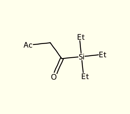 CC[Si](CC)(CC)C(=O)CC(C)=O